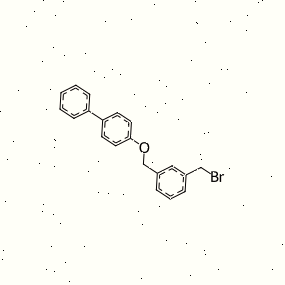 BrCc1cccc(COc2ccc(-c3ccccc3)cc2)c1